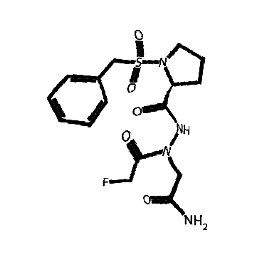 NC(=O)CN(NC(=O)[C@@H]1CCCN1S(=O)(=O)Cc1ccccc1)C(=O)CF